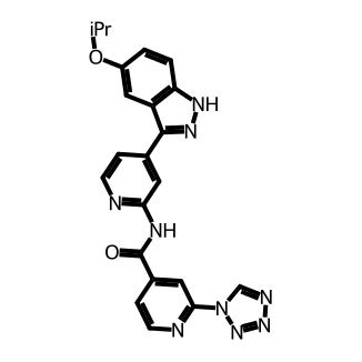 CC(C)Oc1ccc2[nH]nc(-c3ccnc(NC(=O)c4ccnc(-n5cnnn5)c4)c3)c2c1